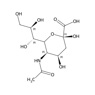 CC(=O)N[C@H]1C([C@H](O)[C@H](O)CO)O[C@](O)(C(=O)O)C[C@H]1O